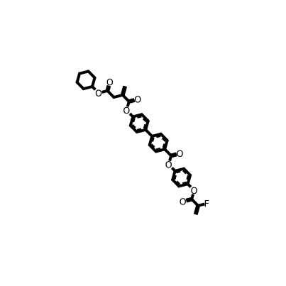 C=C(F)C(=O)Oc1ccc(OC(=O)c2ccc(-c3ccc(OC(=O)C(=C)CC(=O)OC4CCCCC4)cc3)cc2)cc1